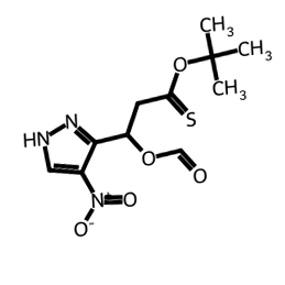 CC(C)(C)OC(=S)CC(OC=O)c1n[nH]cc1[N+](=O)[O-]